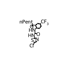 CCCCCC(=O)c1cc(C(F)(F)F)ccc1NC(=O)Nc1ncc(Cl)s1